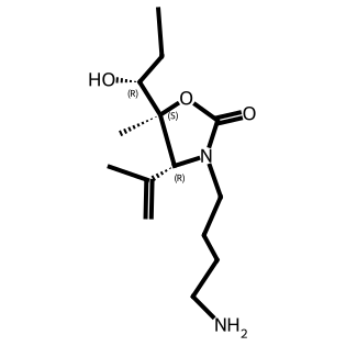 C=C(C)[C@H]1N(CCCCN)C(=O)O[C@]1(C)[C@H](O)CC